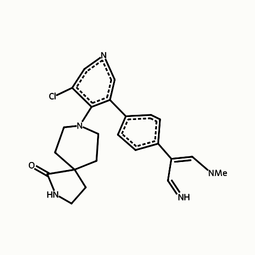 CN/C=C(\C=N)c1ccc(-c2cncc(Cl)c2N2CCC3(CCNC3=O)CC2)cc1